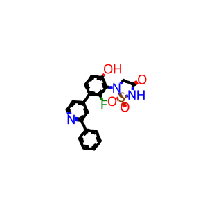 O=C1CN(c2c(O)ccc(-c3ccnc(-c4ccccc4)c3)c2F)S(=O)(=O)N1